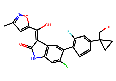 Cc1cc(C(O)=C2C(=O)Nc3cc(Cl)c(-c4ccc(C5(CO)CC5)cc4F)cc32)on1